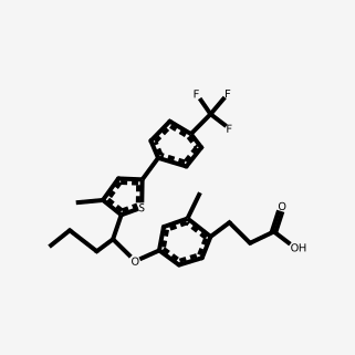 CCCC(Oc1ccc(CCC(=O)O)c(C)c1)c1sc(-c2ccc(C(F)(F)F)cc2)cc1C